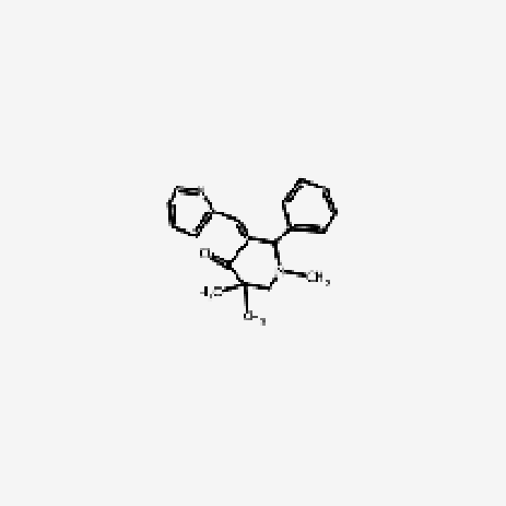 CN1CC(C)(C)C(=O)C(=Cc2ccccn2)C1c1ccccc1